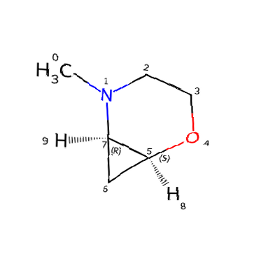 CN1CCO[C@H]2C[C@H]21